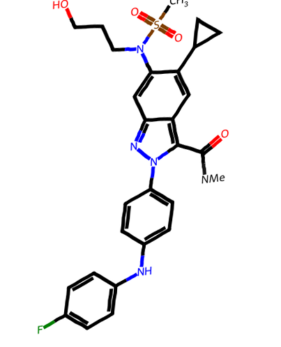 CNC(=O)c1c2cc(C3CC3)c(N(CCCO)S(C)(=O)=O)cc2nn1-c1ccc(Nc2ccc(F)cc2)cc1